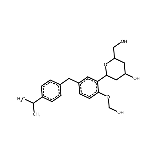 CC(C)c1ccc(Cc2ccc(OCO)c(C3CC(O)CC(CO)O3)c2)cc1